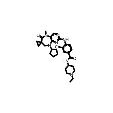 CCN1CCC(NC(=O)c2ccc(Nc3ncc4c(n3)N(C3CCCC3)CC3(CC3)C(=O)N4C)c(Cl)c2)CC1